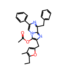 CCc1oc(Cc2nc3c(Cc4ccccc4)nc(-c4ccccc4)cn3c2OC(C)=O)cc1C